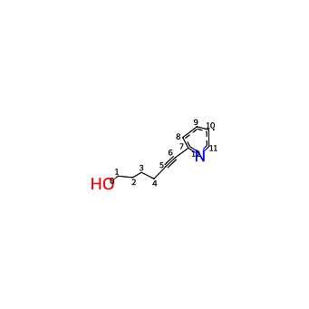 OCCCCC#Cc1cc[c]cn1